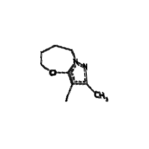 Cc1nn2c(c1I)OCCCC2